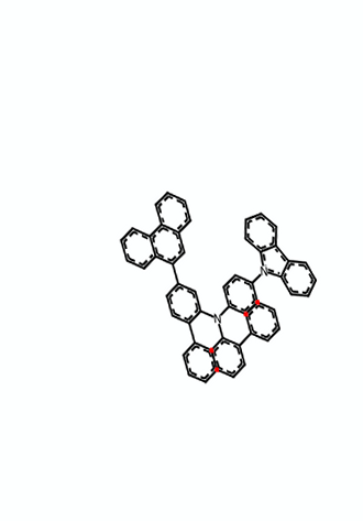 c1ccc(-c2ccccc2N(c2ccc(-n3c4ccccc4c4ccccc43)cc2)c2cc(-c3cc4ccccc4c4ccccc34)ccc2-c2ccccc2)cc1